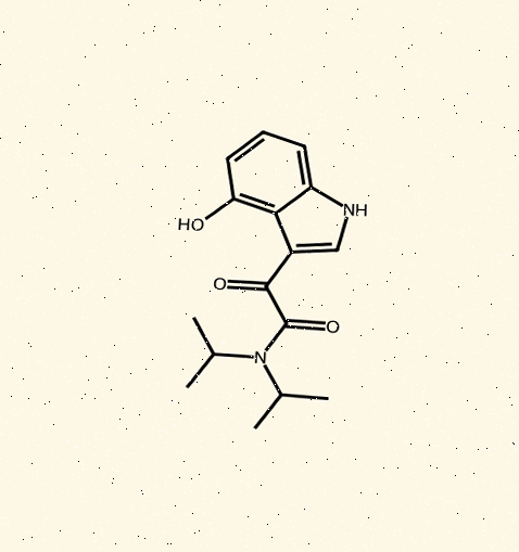 CC(C)N(C(=O)C(=O)c1c[nH]c2cccc(O)c12)C(C)C